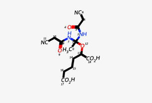 CC(NC(=O)CC#N)(NC(=O)CC#N)OC(CCCC(=O)O)C(=O)O